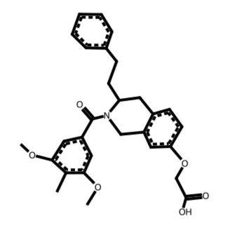 COc1cc(C(=O)N2Cc3cc(OCC(=O)O)ccc3CC2CCc2ccccc2)cc(OC)c1C